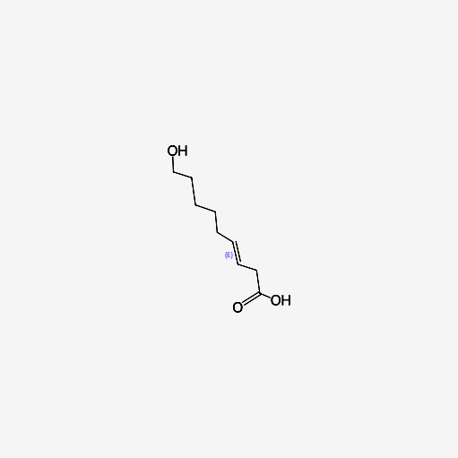 O=C(O)C/C=C/CCCCCO